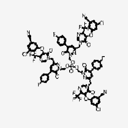 N#Cc1cc(Cl)cc(Oc2c(C(F)(F)F)ncn(Cc3cc(-c4ccc(F)cc4)c(=O)n(COP(=O)(OCn4nc(Cn5cnc(C(F)(F)F)c(Oc6cc(Cl)cc(C#N)c6)c5=O)cc(-c5ccc(F)cc5)c4=O)OCn4nc(Cn5cnc(C(F)(F)F)c(Oc6cc(Cl)cc(C#N)c6)c5=O)cc(-c5ccc(F)cc5)c4=O)n3)c2=O)c1